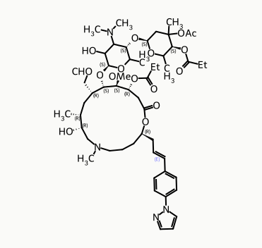 CCC(=O)O[C@@H]1CC(=O)O[C@@H](C/C=C/c2ccc(-n3cccn3)cc2)CCCN(C)C[C@H](O)[C@H](C)C[C@H](CC=O)[C@H](O[C@@H]2OC(C)[C@@H](O[C@H]3CC(C)(OC(C)=O)[C@@H](OC(=O)CC)C(C)O3)C(N(C)C)C2O)[C@H]1OC